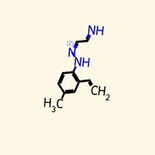 C=Cc1cc(C)ccc1N/N=C\C=N